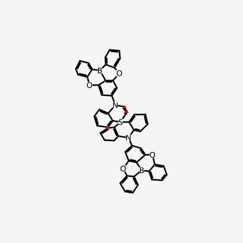 C1=CC2=C(CC1)N(c1cc3c4c(c1)Oc1ccccc1B4c1ccccc1O3)c1ccccc1S21c2ccccc2N(c2cc3c4c(c2)Oc2ccccc2B4c2ccccc2O3)c2ccccc21